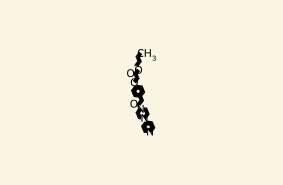 CCCCOC(=O)COc1ccc(CC(=O)N2CCN(c3ccncc3)CC2)cc1